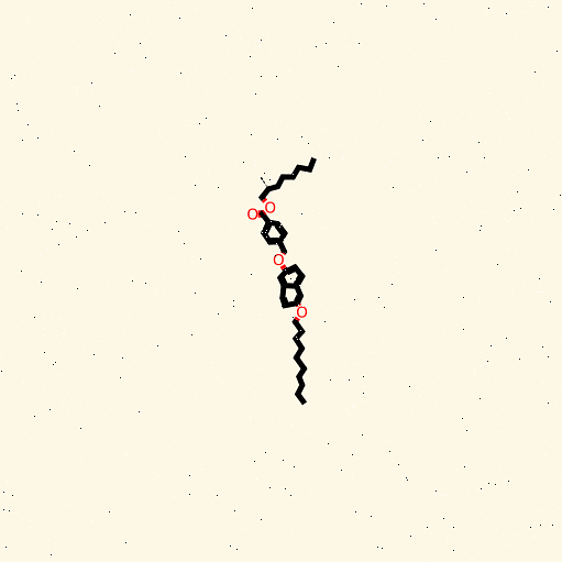 CCCCCCCCCCOc1ccc2cc(OCc3ccc(C(=O)OC[C@H](C)CCCCCC)cc3)ccc2c1